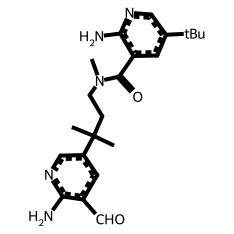 CN(CCC(C)(C)c1cnc(N)c(C=O)c1)C(=O)c1cc(C(C)(C)C)cnc1N